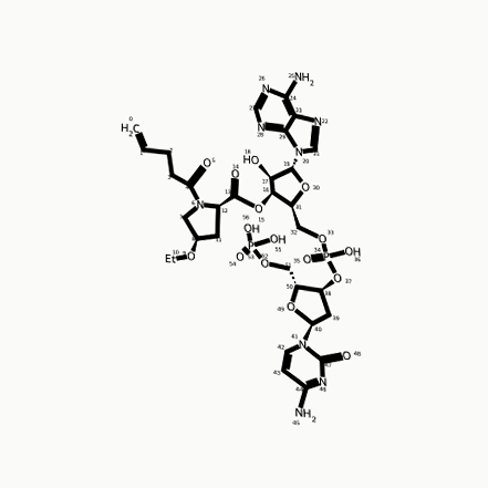 C=CCCC(=O)N1C[C@H](OCC)C[C@@H]1C(=O)O[C@H]1[C@@H](O)[C@H](n2cnc3c(N)ncnc32)O[C@H]1COP(=O)(O)O[C@H]1C[C@@H](n2ccc(N)nc2=O)O[C@@H]1COP(=O)(O)O